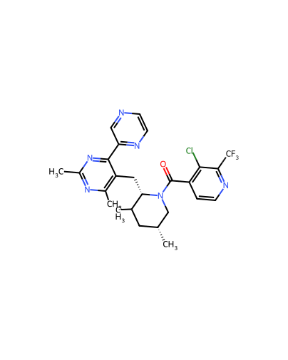 Cc1nc(C)c(C[C@H]2C(C)C[C@@H](C)CN2C(=O)c2ccnc(C(F)(F)F)c2Cl)c(-c2cnccn2)n1